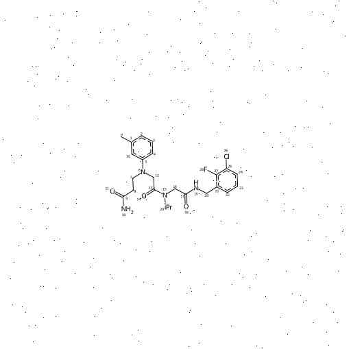 Cc1cccc(N(CCC(N)=O)CC(=O)N(CC(=O)NCc2cccc(Cl)c2F)C(C)C)c1